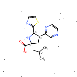 CC(C)C[C@@]1(C(=O)O)C[C@H](c2cnccn2)[C@H](c2nccs2)N1